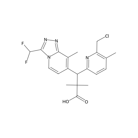 Cc1ccc(C(c2ccn3c(C(F)F)nnc3c2C)C(C)(C)C(=O)O)nc1CCl